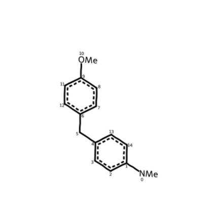 CNc1ccc(Cc2ccc(OC)cc2)cc1